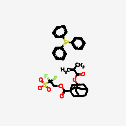 C=C(C)C(=O)OC12CC3CC(C1)CC(C(=O)OCC(F)(F)S(=O)(=O)[O-])(C3)C2.c1ccc([S+](c2ccccc2)c2ccccc2)cc1